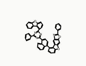 c1ccc(-c2nc(-c3ccc(-c4cccc5oc6cc7oc(-c8ccccc8)nc7cc6c45)c4ccccc34)nc(-c3cccc4oc5ccccc5c34)n2)cc1